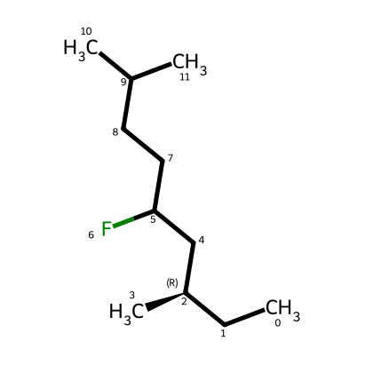 CC[C@@H](C)CC(F)CCC(C)C